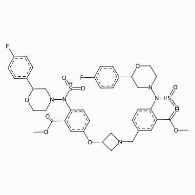 COC(=O)c1cc(CN2CC(Oc3ccc(N(N4CCOC(c5ccc(F)cc5)C4)[SH](=O)=O)c(C(=O)OC)c3)C2)ccc1N(N1CCOC(c2ccc(F)cc2)C1)[SH](=O)=O